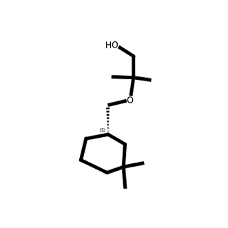 CC1(C)CCC[C@H](COC(C)(C)CO)C1